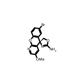 COc1cnc2c(c1)[C@]1(COC(N)=N1)c1cc(Br)ccc1O2